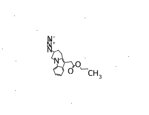 CCCOC(=O)Cc1c2n(c3ccccc13)CC(N=[N+]=[N-])CC2